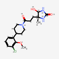 COc1c(Cl)cccc1C1CCN(C(=O)CC[C@@]2(C)NC(=O)NC2O)CC1